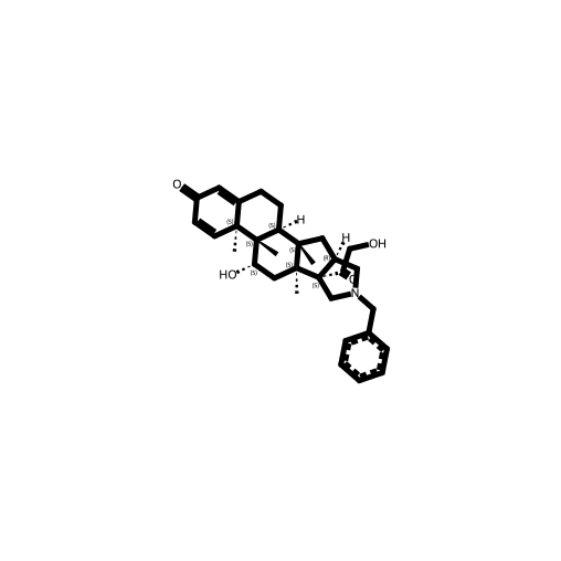 C[C@]12[C@@H](CCC3=CC(=O)C=C[C@@]31C)[C@]1(C)C[C@H]3CN(Cc4ccccc4)C[C@@]3(C(=O)CO)[C@@]1(C)C[C@@H]2O